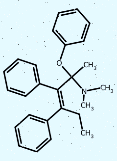 CCC(=C(c1ccccc1)C(C)(Oc1ccccc1)N(C)C)c1ccccc1